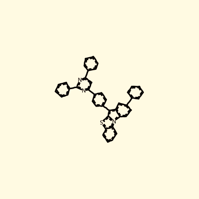 c1ccc(-c2ccc3c(c2)c(-c2ccc(-c4cc(-c5ccccc5)nc(-c5ccccc5)n4)cc2)c2sc4ccccc4n23)cc1